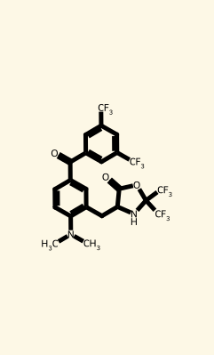 CN(C)c1ccc(C(=O)c2cc(C(F)(F)F)cc(C(F)(F)F)c2)cc1CC1NC(C(F)(F)F)(C(F)(F)F)OC1=O